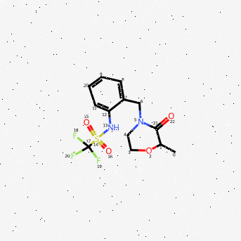 CC1OCCN(Cc2ccccc2NS(=O)(=O)C(F)(F)F)C1=O